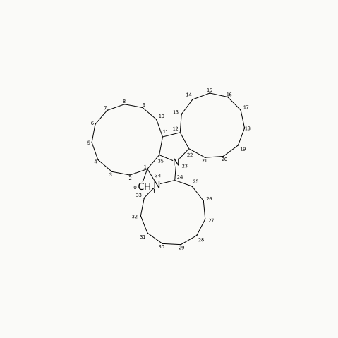 CC12CCCCCCCCCC3C4CCCCCCCCCC4N(C4CCCCCCCCCN41)C32